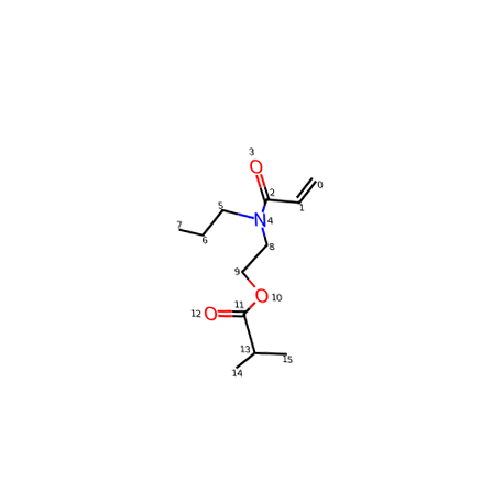 C=CC(=O)N(CCC)CCOC(=O)C(C)C